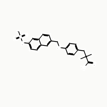 CC(C)(Cc1ccc(OCc2ccc3cc(OS(C)(=O)=O)ccc3c2)cc1)C(=O)O